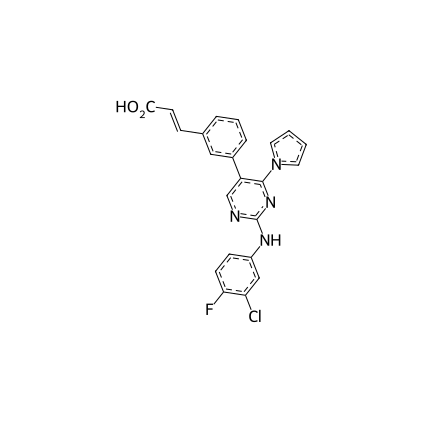 O=C(O)C=Cc1cccc(-c2cnc(Nc3ccc(F)c(Cl)c3)nc2-n2cccc2)c1